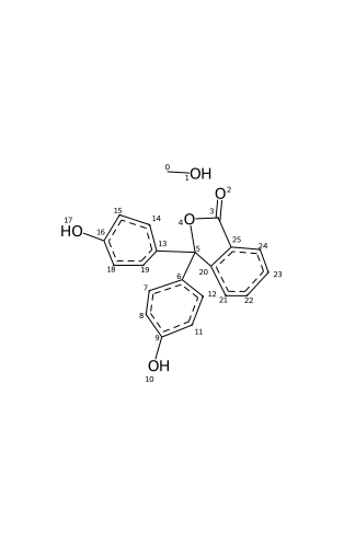 CO.O=C1OC(c2ccc(O)cc2)(c2ccc(O)cc2)c2ccccc21